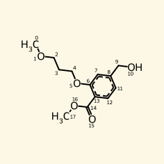 COCCCOc1cc(CO)ccc1C(=O)OC